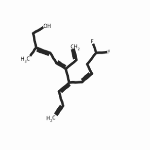 C=C/C=C(\C=C/CC(F)F)C(/C=C)=C/C=C(\C)CO